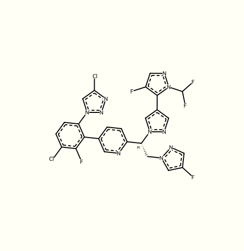 Fc1cnn(C[C@H](c2ccc(-c3c(-n4cc(Cl)nn4)ccc(Cl)c3F)cn2)n2cc(-c3c(F)cnn3C(F)F)cn2)c1